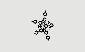 Cc1ccc(-c2ccc3c(c2)c2cc(-c4ccc(C)cc4)ccc2n3-c2cc(-c3c(C(F)(F)F)cccc3C(F)(F)F)cc(-n3c4ccc(-c5ccc(C)cc5)cc4c4cc(-c5ccc(C)cc5)ccc43)c2C#N)cc1